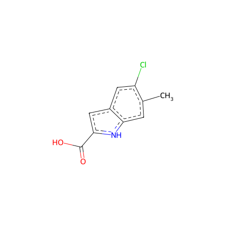 Cc1cc2[nH]c(C(=O)O)cc2cc1Cl